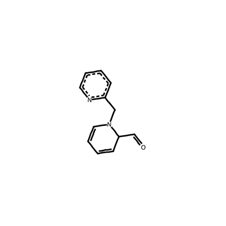 O=CC1C=CC=CN1Cc1ccccn1